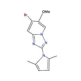 COc1cn2nc(-n3c(C)ccc3C)nc2cc1Br